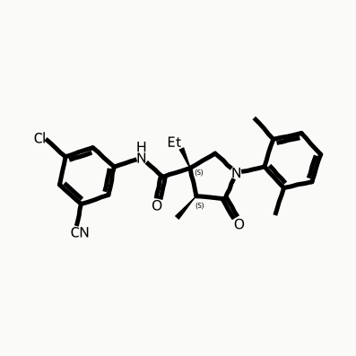 CC[C@@]1(C(=O)Nc2cc(Cl)cc(C#N)c2)CN(c2c(C)cccc2C)C(=O)[C@H]1C